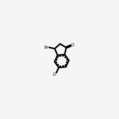 O=C1CC(Br)c2cc(Cl)ccc21